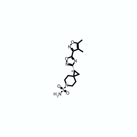 Cc1onc(-c2nc([C@@H]3CC34CCN(S(N)(=O)=O)CC4)no2)c1C